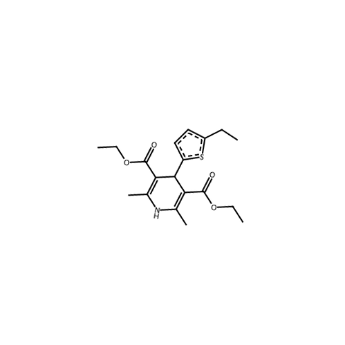 CCOC(=O)C1=C(C)NC(C)=C(C(=O)OCC)C1c1ccc(CC)s1